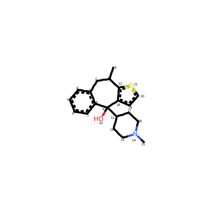 CC1Cc2ccccc2C(O)(C2CCN(C)CC2)c2ccsc21